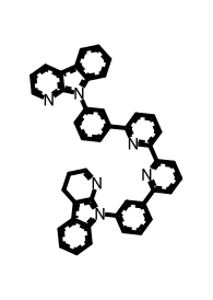 C1=Nc2c(c3ccccc3n2-c2cccc(-c3cccc(-c4cccc(-c5cccc(-n6c7ccccc7c7cccnc76)c5)n4)n3)c2)CC1